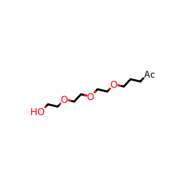 CC(=O)CCCOCCOCCOCCO